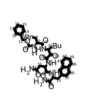 CCC(C)C(NC(=O)C(CC(C)C)NC(=O)OCc1ccccc1)C(=O)C(=O)NC(CC(N)=O)C(=O)NC(Cc1ccc2ccccc2c1)C(N)=O